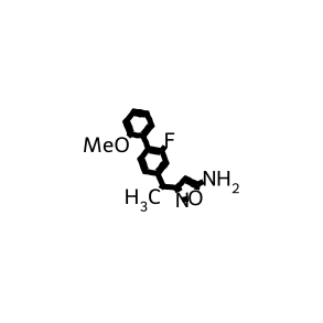 COc1ccccc1-c1ccc(C(C)c2cc(N)on2)cc1F